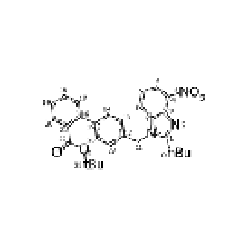 CCCCc1nc2c([N+](=O)[O-])cccc2n1Cc1ccc(-c2ccccc2C(=O)OC(C)(C)C)cc1